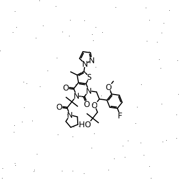 COc1ccc(F)cc1C(Cn1c(=O)n(C(C)(C)C(=O)N2CCCC2)c(=O)c2c(C)c(-n3cccn3)sc21)OCC(C)(C)O